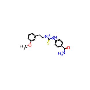 COc1cccc(CCNC(=S)Nc2ccc(C(N)=O)cc2)c1